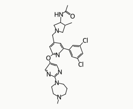 CC(=O)NC1CN(Cc2cc(Oc3cnc(N4CCCN(C)CC4)nc3)nc(-c3cc(Cl)cc(Cl)c3)c2)CC1C